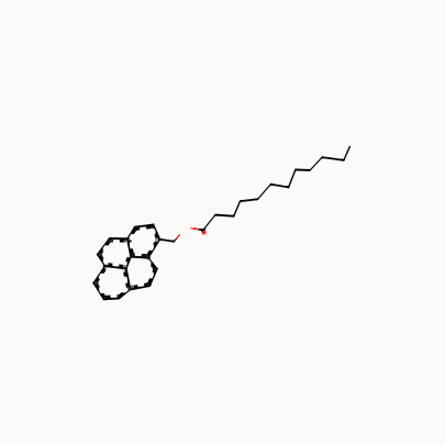 CCCCCCCCCCCC(=O)OCc1ccc2ccc3cccc4ccc1c2c34